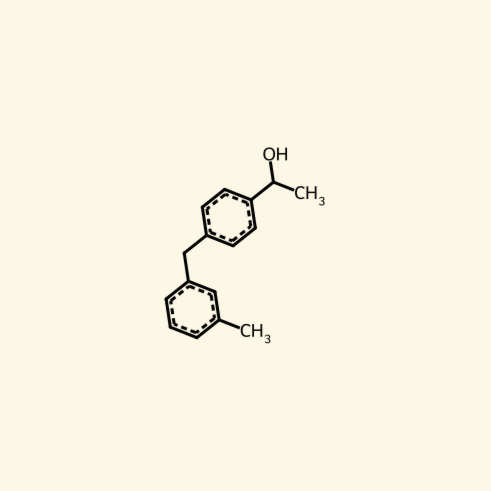 Cc1cccc(Cc2ccc(C(C)O)cc2)c1